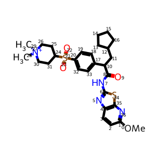 COc1ccc2nc(NC(=O)C(CC3CCCC3)c3ccc(S(=O)(=O)C4CC[N+](C)(C)CC4)cc3)sc2n1